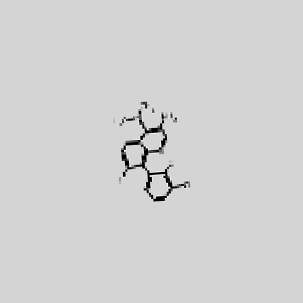 CN(C)c1c(N)cnc2c(-c3cccc(Cl)c3Cl)c(F)ccc12